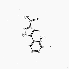 Cc1c(C(N)=O)c[nH]c1-c1ccccc1C(F)(F)F